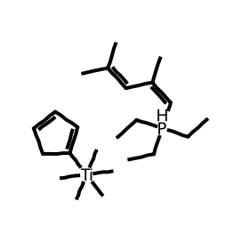 CC[PH](C=C(C)C=C(C)C)(CC)CC.[CH3][Ti]([CH3])([CH3])([CH3])([CH3])[C]1=CC=CC1